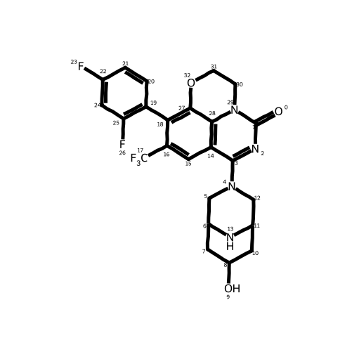 O=c1nc(N2CC3CC(O)CC(C2)N3)c2cc(C(F)(F)F)c(-c3ccc(F)cc3F)c3c2n1CCO3